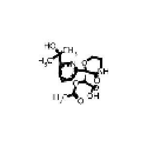 CC(=O)OC(C(=O)O)[C@@]1(c2cccc(C(C)(C)O)n2)OCCNC1=O